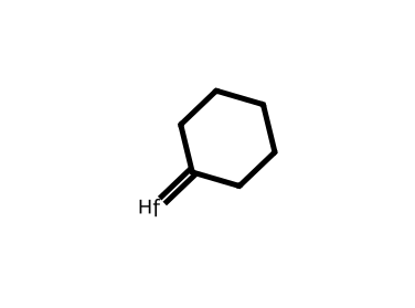 [Hf]=[C]1CCCCC1